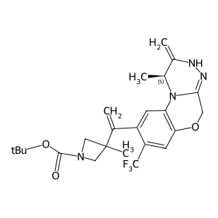 C=C1NN=C2COc3cc(C(F)(F)F)c(C(=C)C4(C)CN(C(=O)OC(C)(C)C)C4)cc3N2[C@H]1C